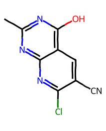 Cc1nc(O)c2cc(C#N)c(Cl)nc2n1